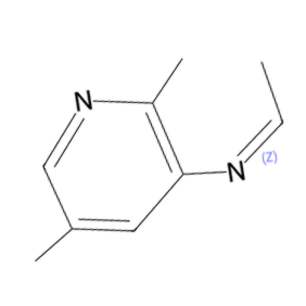 C/C=N\c1cc(C)cnc1C